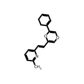 Cc1cccc(C=CC2=COC=C(C3=CC=CCC3)O2)n1